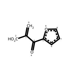 C=C(C(=O)O)C(=O)c1ccco1